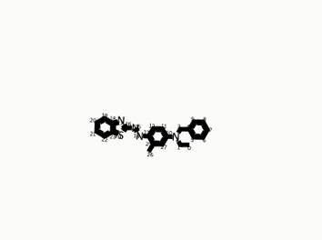 CCN(Cc1ccccc1)c1ccc(N=Nc2nc3ccccc3s2)c(C)c1